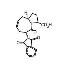 O=C(O)[C@@H]1CC[C@@H]2CC=CC[C@H](N3C(=O)c4ccccc4C3=O)C(=O)N21